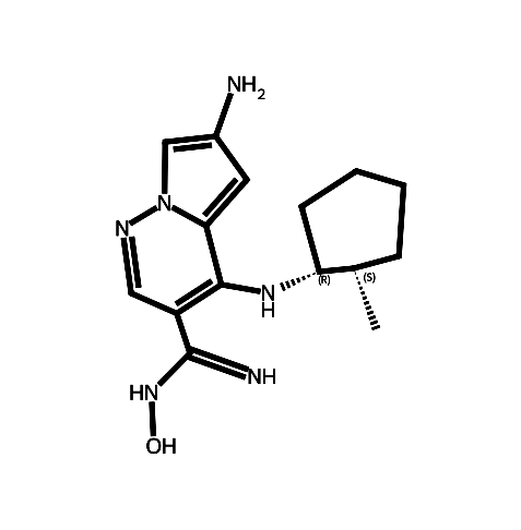 C[C@H]1CCCC[C@H]1Nc1c(C(=N)NO)cnn2cc(N)cc12